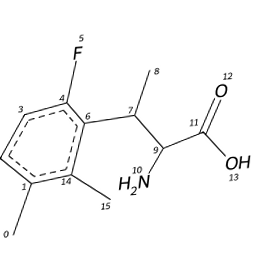 Cc1ccc(F)c(C(C)C(N)C(=O)O)c1C